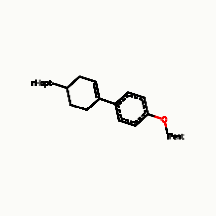 CCCCCCCC1CC=C(c2ccc(OC(C)CCC)cc2)CC1